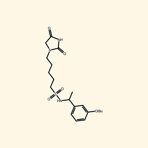 CC(C)COc1cccc(C(C)NS(=O)(=O)CCCCCN2CC(=O)NC2=O)c1